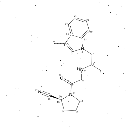 Cc1cn(CC(C)NCC(=O)N2CCC[C@H]2C#N)c2ccccc12